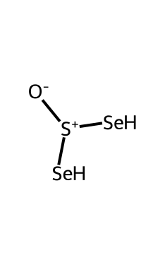 [O-][S+]([SeH])[SeH]